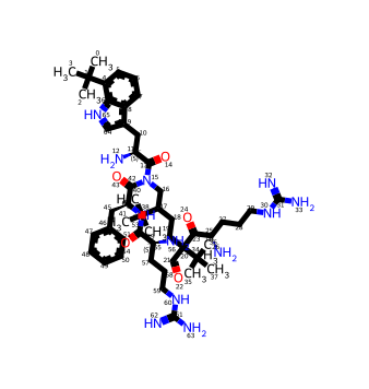 CC(C)(C)c1cccc2c(C[C@H](N)C(=O)N(CC(CCC([C]=O)(C(=O)[C@@H](N)CCCNC(=N)N)C(C)(C)C)C(C)(C)C)C(=O)[C@H](Cc3ccccc3)NC(=O)[C@@H](N)CCCNC(=N)N)c[nH]c12